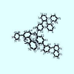 c1ccc(-c2ccccc2-c2ccccc2-c2ccc(N(c3ccc(-c4cccc(-c5cccc6ccccc56)c4)cc3)c3ccc(-c4ccccc4)c4sc5ccccc5c34)cc2)cc1